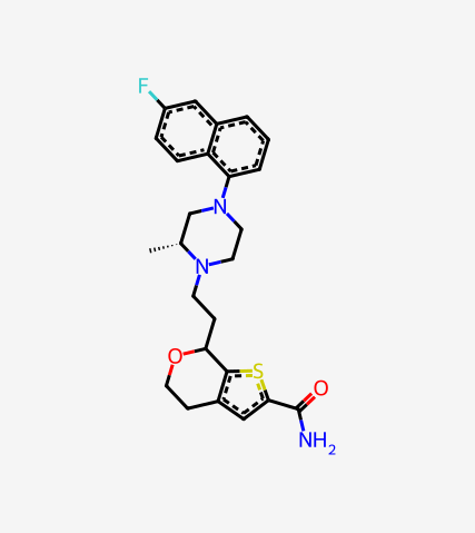 C[C@@H]1CN(c2cccc3cc(F)ccc23)CCN1CCC1OCCc2cc(C(N)=O)sc21